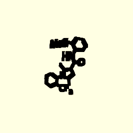 CSc1ccccc1NC(=O)c1cc(C)n(-c2ccccc2C(F)(F)F)c1C